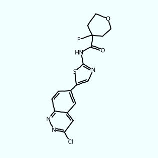 O=C(Nc1ncc(-c2ccc3nnc(Cl)cc3c2)s1)C1(F)CCOCC1